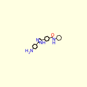 Nc1ccc(-c2ncc(-c3ccc(C(=O)NC4CCCCC4)cc3)[nH]2)cc1